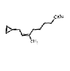 COCCCCC(C)=CCC1CC1